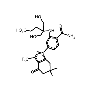 CC1(C)CC(=O)c2c(C(F)(F)F)nn(-c3ccc(C(N)=O)c(NC(CO)(CO)CCC(=O)O)c3)c2C1